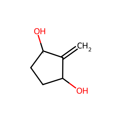 C=C1[C](O)CCC1O